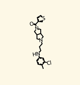 Cc1ccc(NCCCN2CC3CN(C(=O)c4ccsc4)CC3C2)cc1Cl